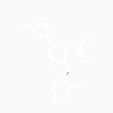 Cl.Cn1cc(-c2cnc(O[C@@H]3CCNC[C@H]3F)c(C(N)=O)c2)nn1